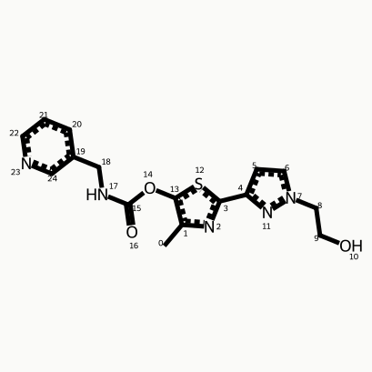 Cc1nc(-c2ccn(CCO)n2)sc1OC(=O)NCc1cccnc1